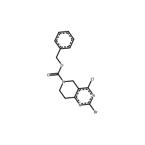 O=C(OCc1ccccc1)N1CCc2nc(Br)nc(Cl)c2C1